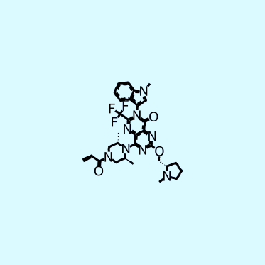 C=CC(=O)N1C[C@H](C)N(c2nc(OC[C@@H]3CCCN3C)nc3c(=O)n(-c4cn(C)c5ccccc45)c(C(F)(F)F)nc23)[C@@H](C)C1